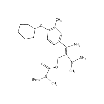 CCCC(C)N(C)C(=O)OC/C(=C(/N)c1ccc(OC2CCCCC2)c(C)c1)N(C)N